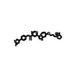 Cn1cc(-c2ccc(CNc3cc(-c4cnc5cc(OCCC[N+]6(O)CCCC6)ccn45)ncn3)cc2)cn1